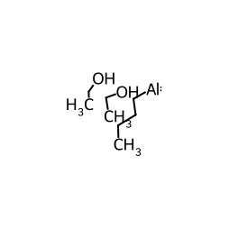 CCC[CH2][Al].CCO.CCO